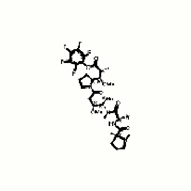 CC[C@H](C)[C@@H]([C@@H](CC(=O)N1CCC[C@H]1[C@H](OC)[C@@H](C)C(=O)Oc1c(F)c(F)c(F)c(F)c1F)OC)N(C)C(=O)[C@H](NC(=O)[C@@]1(C)CCCN1C)C(C)C